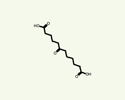 O=C(O)CCCCCC(=O)CCCCC(=O)O